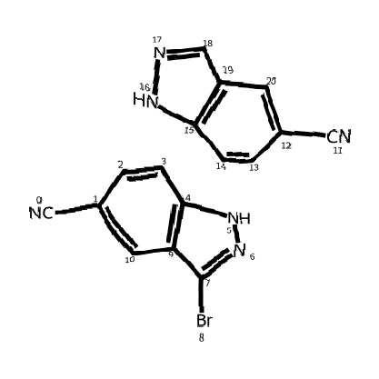 N#Cc1ccc2[nH]nc(Br)c2c1.N#Cc1ccc2[nH]ncc2c1